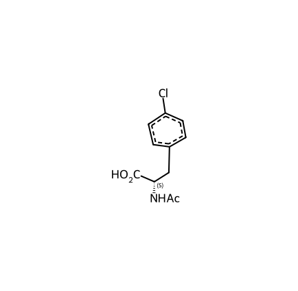 CC(=O)N[C@@H](Cc1ccc(Cl)cc1)C(=O)O